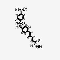 CCN(CC)c1ccc(S(=O)(=O)Nc2ccc(/C=C(C)/C=C/C(=O)NO)cc2)cc1